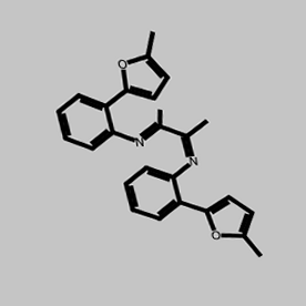 CC(=Nc1ccccc1-c1ccc(C)o1)C(C)=Nc1ccccc1-c1ccc(C)o1